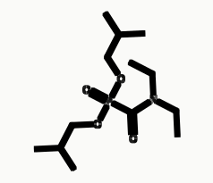 CCN(CC)C(=O)P(=O)(OCC(C)C)OCC(C)C